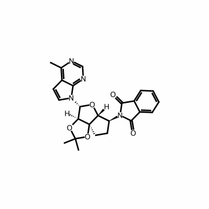 Cc1ncnc2c1ccn2[C@@H]1O[C@@H]2[C@@H](N3C(=O)c4ccccc4C3=O)CC[C@@]23OC(C)(C)O[C@@H]13